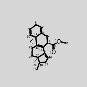 COC(=O)[C@@H]1CC2=CCC=C[C@]2(C)C2=C1C1=CCC(C)[C@@]1(C)CC2